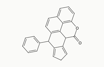 O=C1Oc2cccc3ccc4c(c23)C1C1=CCC=C1C4c1ccccc1